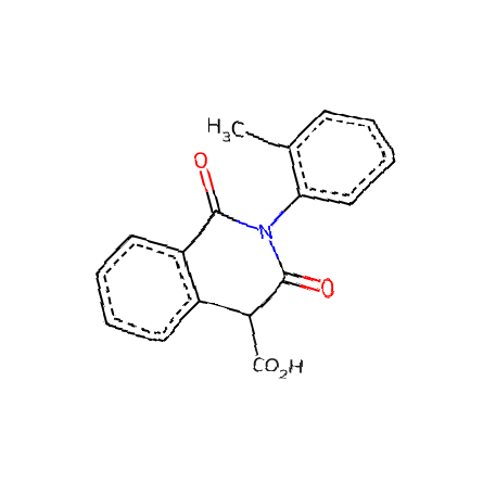 Cc1ccccc1N1C(=O)c2ccccc2C(C(=O)O)C1=O